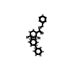 O=C(OCc1ccccc1)N1CC[C@@H]2C[C@@H]1c1cc(-c3ccccc3)ccc12